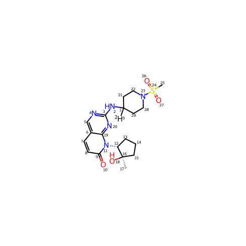 [2H]C1(Nc2ncc3ccc(=O)n([C@@H]4CCC[C@@]4(C)O)c3n2)CCN(S(C)(=O)=O)CC1